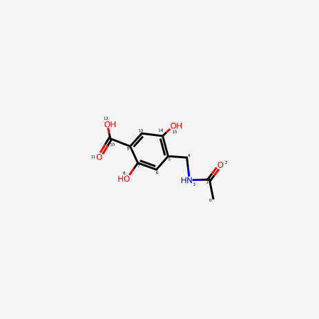 CC(=O)NCc1cc(O)c(C(=O)O)cc1O